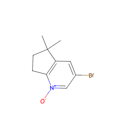 CC1(C)CCc2c1cc(Br)c[n+]2[O-]